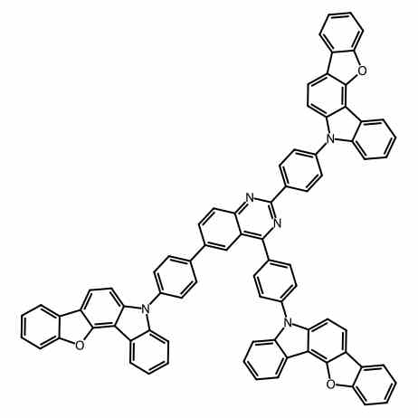 c1ccc2c(c1)oc1c2ccc2c1c1ccccc1n2-c1ccc(-c2ccc3nc(-c4ccc(-n5c6ccccc6c6c7oc8ccccc8c7ccc65)cc4)nc(-c4ccc(-n5c6ccccc6c6c7oc8ccccc8c7ccc65)cc4)c3c2)cc1